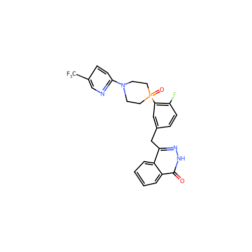 O=c1[nH]nc(Cc2ccc(F)c(P3(=O)CCN(c4ccc(C(F)(F)F)cn4)CC3)c2)c2ccccc12